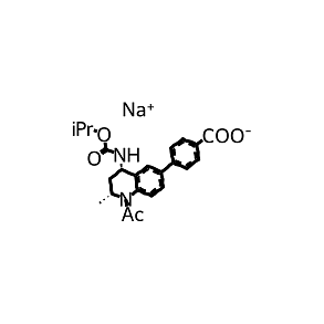 CC(=O)N1c2ccc(-c3ccc(C(=O)[O-])cc3)cc2[C@@H](NC(=O)OC(C)C)C[C@H]1C.[Na+]